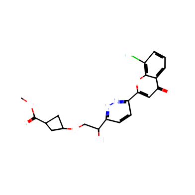 COC(=O)C1CC(OCC(O)c2ccc(-c3cc(=O)c4cccc(Cl)c4o3)nn2)C1